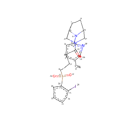 N#Cc1ccc(N2C3CCC2CN(C(=O)CCCS(=O)(=O)c2ccccc2I)C3)nc1